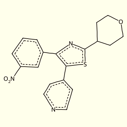 O=[N+]([O-])c1cccc(-c2nc(C3CCOCC3)sc2-c2ccncc2)c1